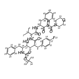 CC(C)C(NC(=O)C(Cc1ccc(F)cc1)CC(O)C(Cc1ccccc1)NC(=O)OC(C)(C)C)C(=O)NC(Cc1ccccc1)C(=O)NC(=O)N1CCOCC1